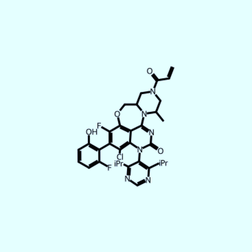 C=CC(=O)N1CC(C)N2c3nc(=O)n(-c4c(C(C)C)ncnc4C(C)C)c4c(Cl)c(-c5c(O)cccc5F)c(F)c(c34)OCC2C1